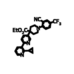 CCOC(=O)C1(c2ccc(-c3cccnc3C3CC3)nc2)CCN(c2ccc(C(F)(F)F)cc2C#N)CC1